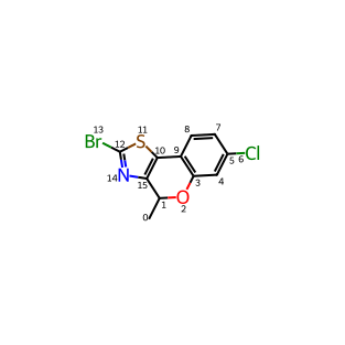 CC1Oc2cc(Cl)ccc2-c2sc(Br)nc21